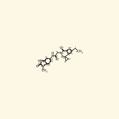 CCc1cc2c(s1)C(=O)N(CC(=O)Nc1ccc3c(c1)[nH]c(=O)n3C)CC21CC1